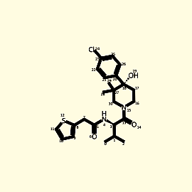 CC(C)[C@@H](NC(=O)Cc1cccs1)C(=O)N1CC[C@](O)(c2ccc(Cl)cc2)C(C)(C)C1